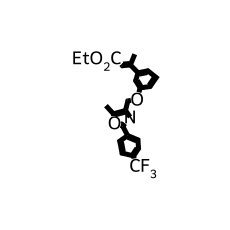 CCOC(=O)C=C(C)c1cccc(OCc2nc(-c3ccc(C(F)(F)F)cc3)oc2C)c1